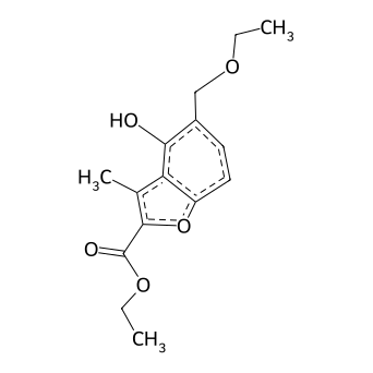 CCOCc1ccc2oc(C(=O)OCC)c(C)c2c1O